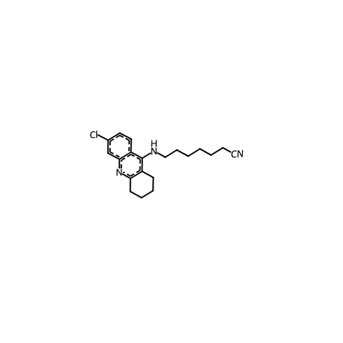 N#CCCCCCCNc1c2c(nc3cc(Cl)ccc13)CCCC2